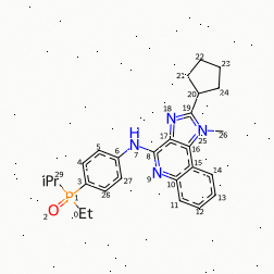 CCP(=O)(c1ccc(Nc2nc3ccccc3c3c2nc(C2CCCC2)n3C)cc1)C(C)C